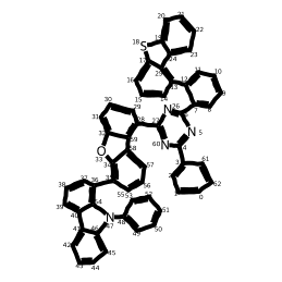 c1ccc(-c2nc(-c3ccccc3-c3cccc4sc5ccccc5c34)nc(-c3cccc4oc5c(-c6cccc7c8ccccc8n(-c8ccccc8)c67)cccc5c34)n2)cc1